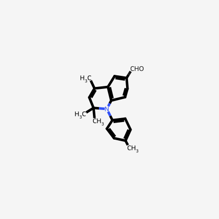 CC1=CC(C)(C)N(c2ccc(C)cc2)c2ccc(C=O)cc21